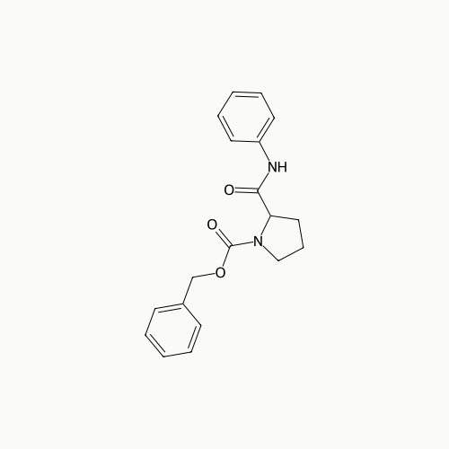 O=C(Nc1ccccc1)C1CCCN1C(=O)OCc1ccccc1